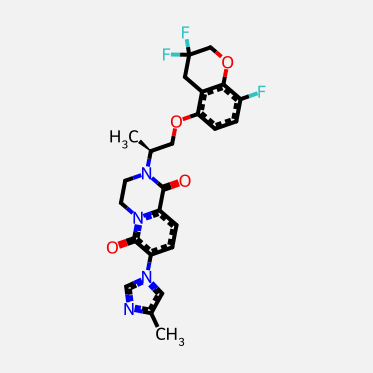 Cc1cn(-c2ccc3n(c2=O)CCN([C@@H](C)COc2ccc(F)c4c2CC(F)(F)CO4)C3=O)cn1